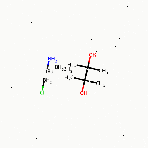 B.B.BCl.CC(C)(C)N.CC(C)(O)C(C)(C)O